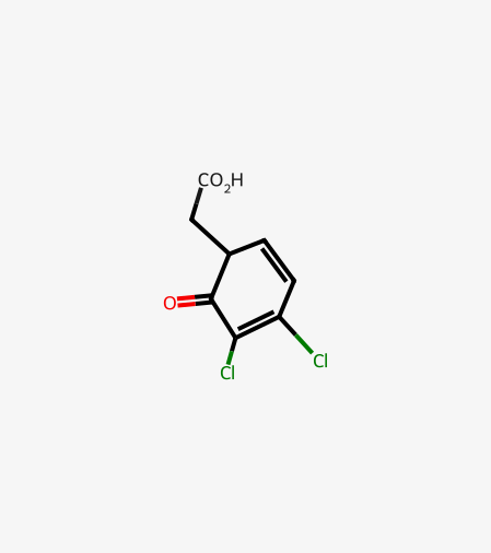 O=C(O)CC1C=CC(Cl)=C(Cl)C1=O